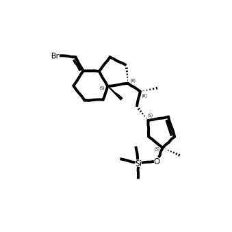 C[C@H](C[C@@H]1C=C[C@@](C)(O[Si](C)(C)C)C1)[C@H]1CCC2C(=CBr)CCC[C@]21C